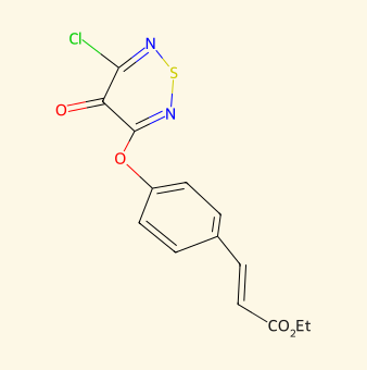 CCOC(=O)C=Cc1ccc(Oc2nsnc(Cl)c2=O)cc1